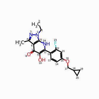 CCn1nc(C)c2c(=O)c(O)c(-c3ccc(OCC4CC4)cc3F)[nH]c21